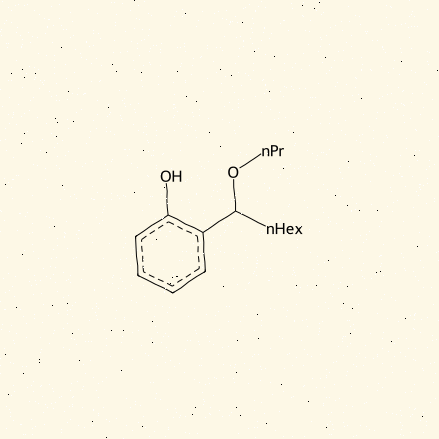 CCCCCCC(OCCC)c1ccccc1O